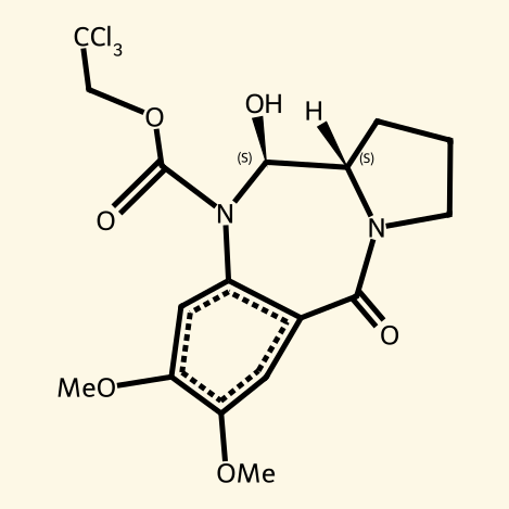 COc1cc2c(cc1OC)N(C(=O)OCC(Cl)(Cl)Cl)[C@@H](O)[C@@H]1CCCN1C2=O